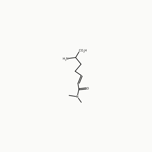 CN(C)C(=O)/C=C/CCC(N)C(=O)O